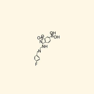 O=S1(=O)N=C(NC/N=C/c2ccc(F)cc2)c2ccc(B(O)O)cc21